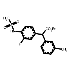 CCOC(=O)C(c1cccc(C)c1)c1ccc(NS(C)(=O)=O)c(F)c1